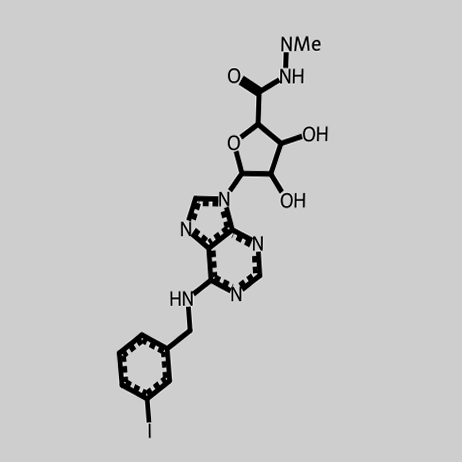 CNNC(=O)C1OC(n2cnc3c(NCc4cccc(I)c4)ncnc32)C(O)C1O